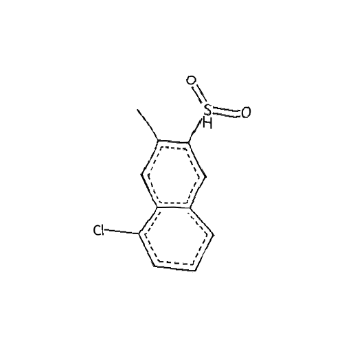 Cc1cc2c(Cl)cccc2cc1[SH](=O)=O